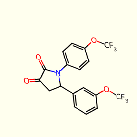 O=C1CC(c2cccc(OC(F)(F)F)c2)N(c2ccc(OC(F)(F)F)cc2)C1=O